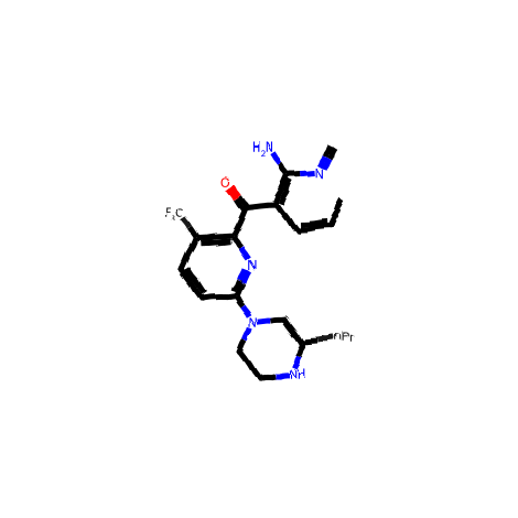 C=N/C(N)=C(\C=C/C)C(=O)c1nc(N2CCNC(CCC)C2)ccc1C(F)(F)F